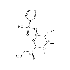 CC(=O)OC[C@H](F)C1O[C@@H](OP(=O)(O)n2ccnc2)C(OC(C)=O)[C@@H](C)[C@@H]1C